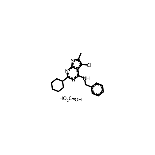 Cc1sc2nc(C3CCCCC3)nc(NCc3ccccc3)c2c1Cl.O=C(O)O